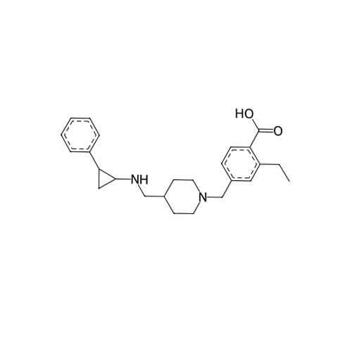 CCc1cc(CN2CCC(CNC3CC3c3ccccc3)CC2)ccc1C(=O)O